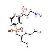 CCCCC(CCC)CS(=O)(=O)c1cccc([C@H](O)CCN)c1